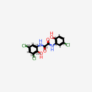 O=C(Nc1cc(Cl)ccc1O)C(=O)Nc1cc(Cl)cc(Cl)c1O